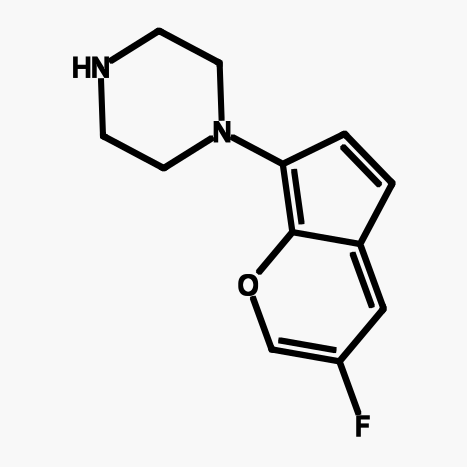 Fc1coc2c(N3CCNCC3)ccc-2c1